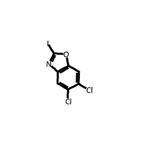 Clc1cc2nc(I)oc2cc1Cl